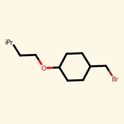 CC(C)CCOC1CCC(CBr)CC1